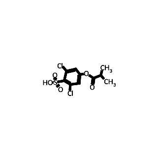 CC(C)C(=O)Oc1cc(Cl)c(S(=O)(=O)O)c(Cl)c1